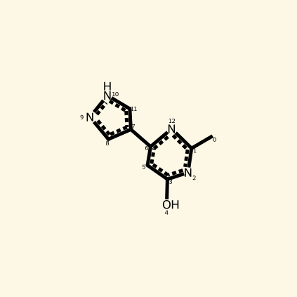 Cc1nc(O)cc(-c2cn[nH]c2)n1